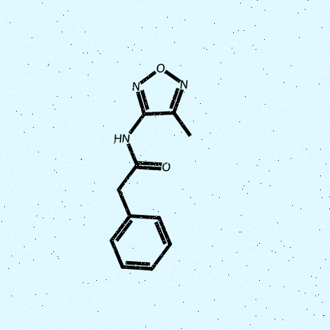 Cc1nonc1NC(=O)Cc1ccccc1